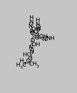 CCCC(C)(C)COCC(O)CN1CCN(CC(O)COCC(COCC(O)CN2CCNCC2)(COCC(O)CN2CCNCC2)COCC(O)CN2CCNCC2)CC1